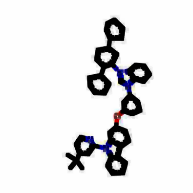 CC(C)(C)c1ccnc(-n2c3ccccc3c3ccc(Oc4cccc(-n5c[n+](-c6cc(-c7ccccc7)ccc6-c6ccccc6)c6ccccc65)c4)cc32)c1